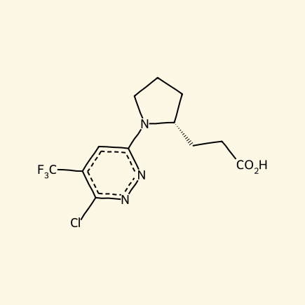 O=C(O)CC[C@H]1CCCN1c1cc(C(F)(F)F)c(Cl)nn1